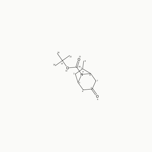 CC1CC2CC(=O)CC1N2C(=O)OC(C)(C)C